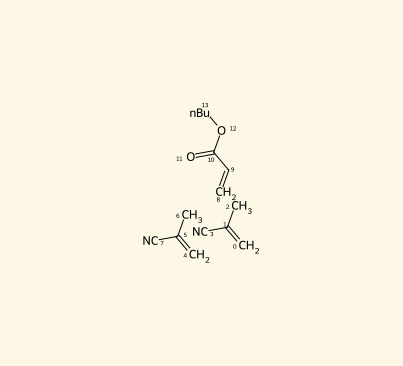 C=C(C)C#N.C=C(C)C#N.C=CC(=O)OCCCC